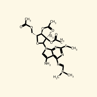 CSc1nc(/N=C/N(C)C)c2c(N)cn(C3O[C@H](COC(C)=O)[C@@H](OC(C)=O)[C@@]3(C)OC(C)=O)c2n1